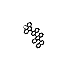 c1ccc2c(-c3c4ccccc4c(-c4ccc(-c5cc6cccc7oc8cccc5c8c67)c5ccccc45)c4ccccc34)cccc2c1